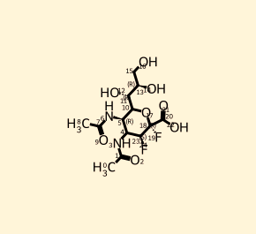 CC(=O)NC1[C@@H](NC(C)=O)C([C@H](O)[C@H](O)CO)O[C@@](F)(C(=O)O)[C@H]1F